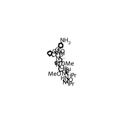 CC[C@H](C)[C@@H]([C@@H](CC(=O)N1CCC[C@H]1[C@H](OC)[C@@H](C)C(=O)N[C@@H](Cc1ccccc1)C(=O)NS(=O)(=O)c1ccc(N)cc1)OC)N(C)C(=O)[C@@H](NC(=O)C(C(C)C)N(C)C)C(C)C